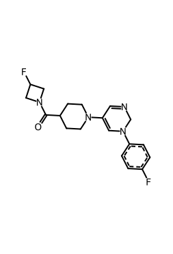 O=C(C1CCN(C2=CN(c3ccc(F)cc3)CN=C2)CC1)N1CC(F)C1